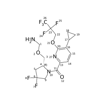 NCOC[C@H]1CC(F)(F)CN1C(=O)c1ccc(C2CC2)c(OCC(F)(F)C(F)(F)F)n1